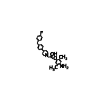 Cc1cc(OC[C@@H](O)CN2CCC(c3ccc(Cc4ccc(F)cc4)cc3)CC2)c(C)cc1N